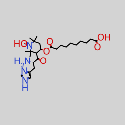 CC1(C)CC(OC(=O)CCCCCCCCC(=O)O)C(C(=O)[C@@H](N)Cc2c[nH]cn2)C(C)(C)N1O